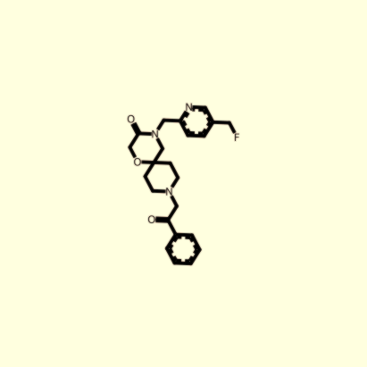 O=C(CN1CCC2(CC1)CN(Cc1ccc(CF)cn1)C(=O)CO2)c1ccccc1